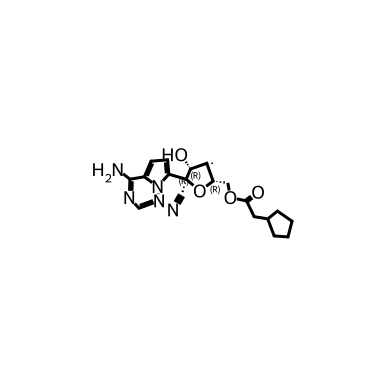 N#C[C@@]1(c2ccc3c(N)ncnn23)O[C@@H](COC(=O)CC2CCCC2)[CH][C@H]1O